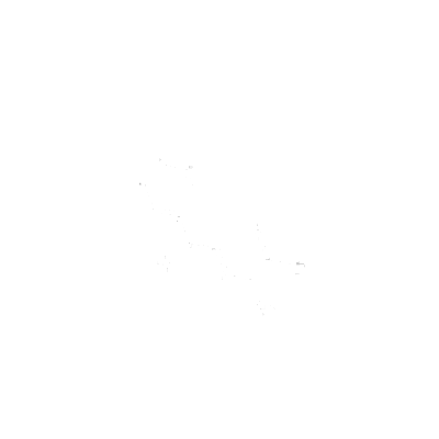 CC(C=CC(C)c1ccccc1)C(=O)O